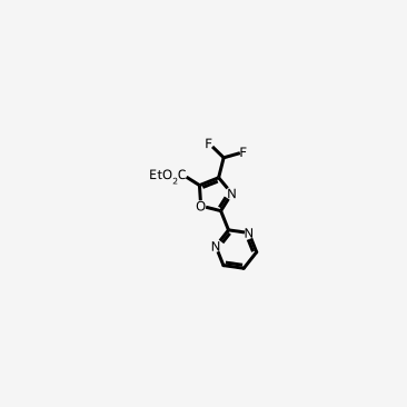 CCOC(=O)c1oc(-c2ncccn2)nc1C(F)F